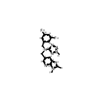 Cc1nc2cc(CN(Cc3cc(F)cc(F)c3)c3nnn(C)n3)[c]nc2n1C